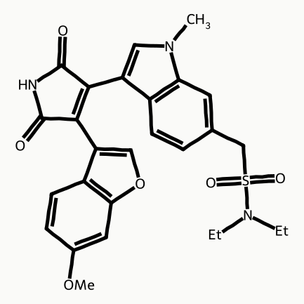 CCN(CC)S(=O)(=O)Cc1ccc2c(C3=C(c4coc5cc(OC)ccc45)C(=O)NC3=O)cn(C)c2c1